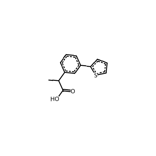 CC(C(=O)O)c1cccc(-c2cccs2)c1